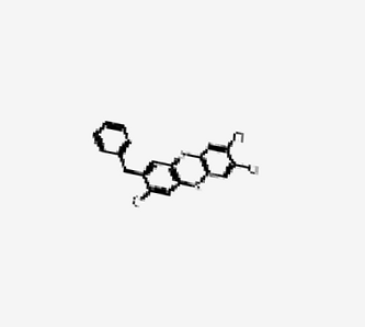 Clc1cc2c(cc1Cl)Sc1cc(Cc3ccccc3)c(Cl)cc1S2